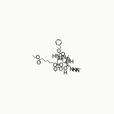 CCOC(=O)CCCCCO[C@]1(C(=O)OC)C[C@@H](NC(=O)OCc2ccccc2)[C@@H](NC(C)=O)C([C@H](O)[C@H](O)CN=[N+]=[N-])O1